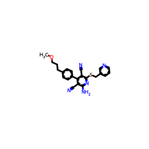 COCCCc1ccc(-c2c(C#N)c(N)nc(SCc3cccnc3)c2C#N)cc1